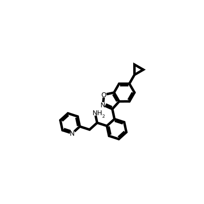 NC(Cc1ccccn1)c1ccccc1-c1noc2cc(C3CC3)ccc12